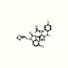 CC(c1ccc(Cl)cc1)n1nnc2c1NC(=O)C[C@]21C(=O)N(CCN2CCC2)c2ccc(Cl)cc21